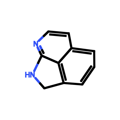 c1cc2c3c(nccc3c1)NC2